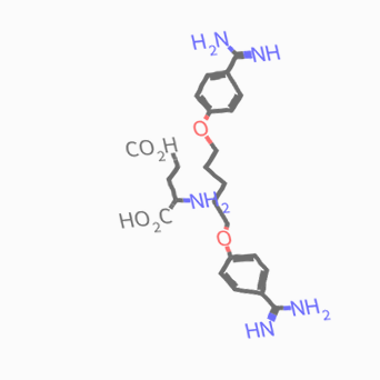 N=C(N)c1ccc(OCCCCCOc2ccc(C(=N)N)cc2)cc1.NC(CCC(=O)O)C(=O)O